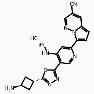 CC(C)Nc1cc(-c2ccc3cc(C#N)cnn23)ncc1-c1nnc([C@H]2C[C@H](N)C2)s1.Cl